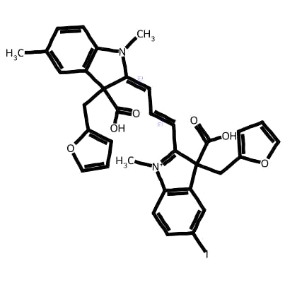 Cc1ccc2c(c1)C(Cc1ccco1)(C(=O)O)/C(=C\C=C\C1=[N+](C)c3ccc(I)cc3C1(Cc1ccco1)C(=O)O)N2C